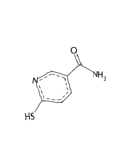 NC(=O)c1ccc(S)nc1